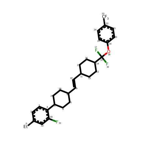 CCc1ccc(C2CCC(/C=C/C3CCC(C(F)(F)Oc4ccc(C(F)(F)F)cc4)CC3)CC2)c(F)c1